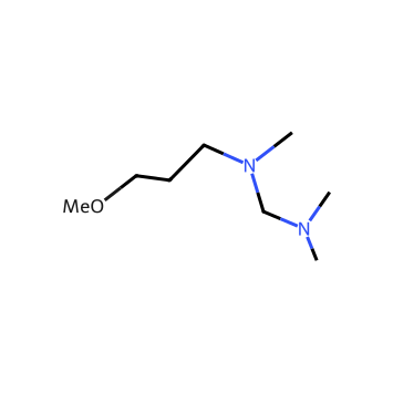 COCCCN(C)CN(C)C